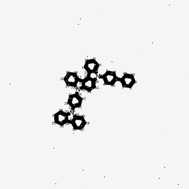 c1ccc(-c2ccc(-n3c4ccccc4c4c5c6ccccc6n(-c6ccc(-n7c8ccccc8c8ccccc87)cc6)c5ccc43)cc2)cc1